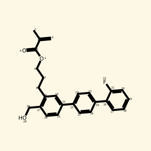 C=C(C)C(=O)OCCCc1cc(-c2ccc(-c3ccccc3F)cc2)ccc1CO